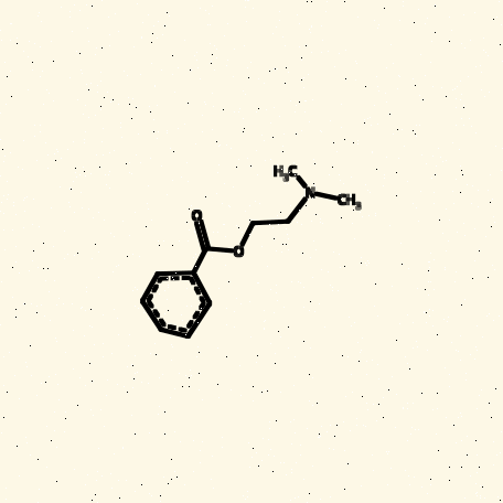 CN(C)CCOC(=O)c1ccccc1